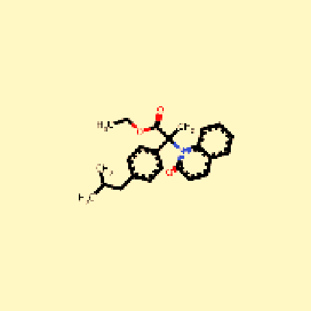 CCOC(=O)C(C)(c1ccc(CC(C)C)cc1)n1c(=O)ccc2ccccc21